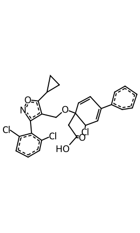 O=C(O)CC1(OCc2c(-c3c(Cl)cccc3Cl)noc2C2CC2)C=CC(c2ccccc2)=CC1Cl